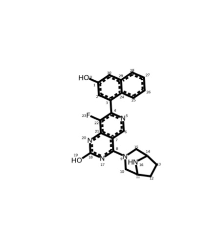 Oc1cc(-c2ncc3c(N4CC5CCC(C4)N5)nc(O)nc3c2F)c2ccccc2c1